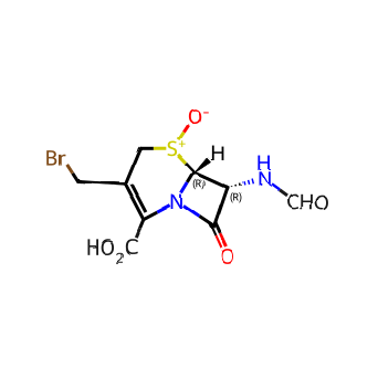 O=CN[C@@H]1C(=O)N2C(C(=O)O)=C(CBr)C[S+]([O-])[C@H]12